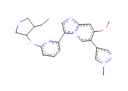 CCC1CNCC1Nc1cccc(-c2cnc3cc(OC)c(-c4cnn(C)c4)cn23)n1